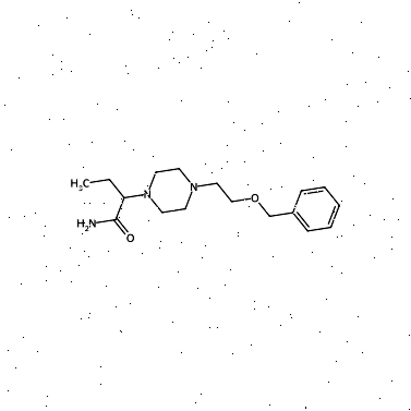 CCC(C(N)=O)N1CCN(CCOCc2ccccc2)CC1